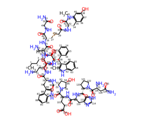 CCCC[C@@H](C(=O)N(C)[C@@H](Cc1ccccc1)C(=O)N[C@@H](CN)C(=O)N[C@@H](CSCC(=O)N[C@@H](Cc1ccc(O)cc1)C(=O)NC)C(=O)NCC(N)=O)N(C)C(=O)[C@H](Cc1c[nH]c2ccccc12)NC(=O)[C@H](CCN)NC(=O)[C@H](Cc1c[nH]c2ccccc12)NC(=O)[C@@H]1C[C@@H](O)CN1C(=O)[C@H](CCC(=O)O)NC(=O)[C@H](Cc1c[nH]cn1)NC(=O)[C@@H]1CCCN1C(=O)[C@@H](N)CC(N)=O